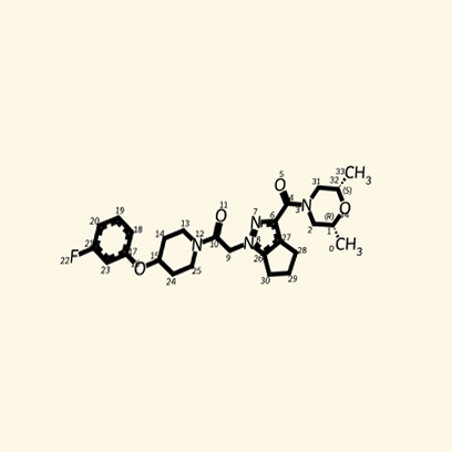 C[C@@H]1CN(C(=O)c2nn(CC(=O)N3CCC(Oc4cccc(F)c4)CC3)c3c2CCC3)C[C@H](C)O1